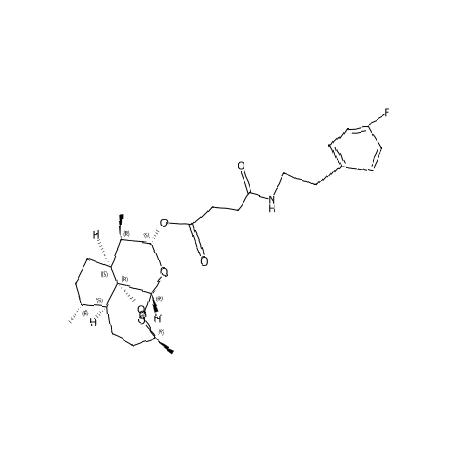 C[C@H]1[C@H](OC(=O)CCC(=O)NCCc2ccc(F)cc2)O[C@@H]2O[C@@]3(C)CC[C@H]4[C@H](C)CC[C@@H]1[C@@]24OO3